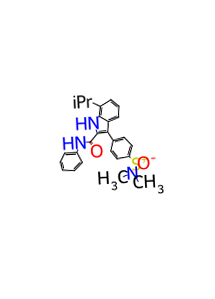 CC(C)c1cccc2c(-c3ccc([S+]([O-])N(C)C)cc3)c(C(=O)Nc3ccccc3)[nH]c12